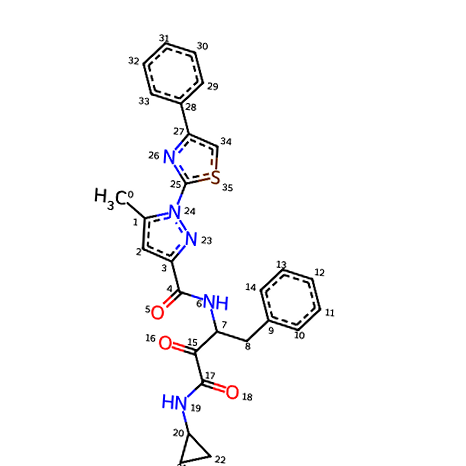 Cc1cc(C(=O)NC(Cc2ccccc2)C(=O)C(=O)NC2CC2)nn1-c1nc(-c2ccccc2)cs1